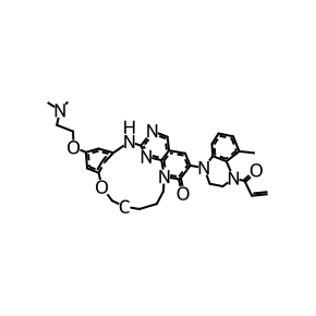 C=CC(=O)N1CCN(c2cc3cnc4nc3n(c2=O)CCCCCOc2cc(cc(OCCN(C)C)c2)N4)c2cccc(C)c21